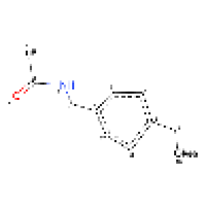 CCCC(=O)NCc1ccc(COC)cc1